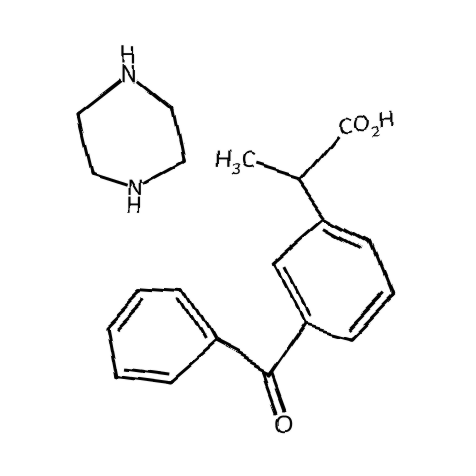 C1CNCCN1.CC(C(=O)O)c1cccc(C(=O)c2ccccc2)c1